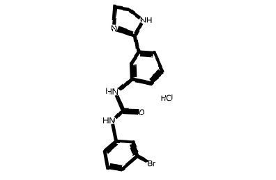 Cl.O=C(Nc1cccc(Br)c1)Nc1cccc(C2=NCCN2)c1